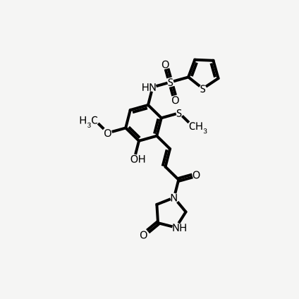 COc1cc(NS(=O)(=O)c2cccs2)c(SC)c(/C=C/C(=O)N2CNC(=O)C2)c1O